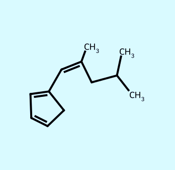 CC(=CC1=CC=CC1)CC(C)C